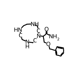 NC(=O)C(COCc1ccccc1)N1CCNCCNCCNCC1